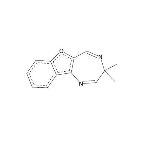 CC1(C)C=Nc2c(oc3ccccc23)C=N1